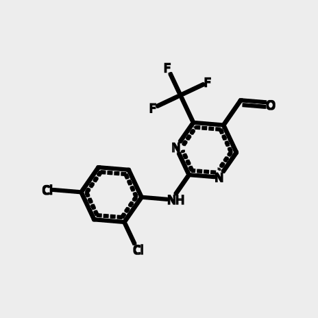 O=Cc1cnc(Nc2ccc(Cl)cc2Cl)nc1C(F)(F)F